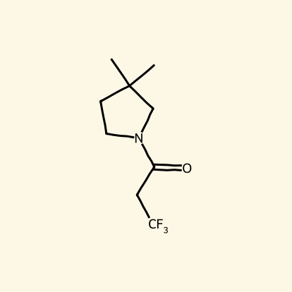 CC1(C)CCN(C(=O)CC(F)(F)F)C1